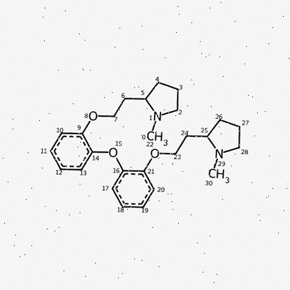 CN1CCCC1CCOc1ccccc1Oc1ccccc1OCCC1CCCN1C